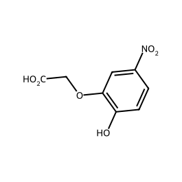 O=C(O)COc1cc([N+](=O)[O-])ccc1O